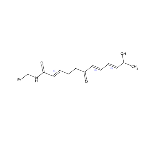 CC(O)/C=C/C=C/C(=O)CC/C=C/C(=O)NCC(C)C